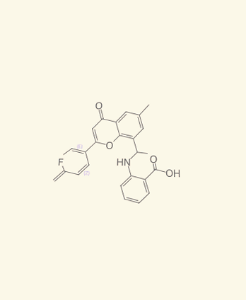 C=C(F)/C=C\C(=C/C)c1cc(=O)c2cc(C)cc(C(C)Nc3ccccc3C(=O)O)c2o1